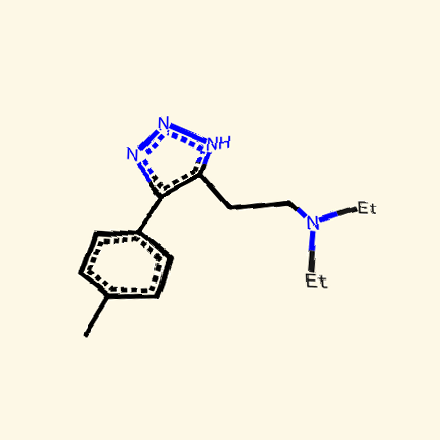 CCN(CC)CCc1[nH]nnc1-c1ccc(C)cc1